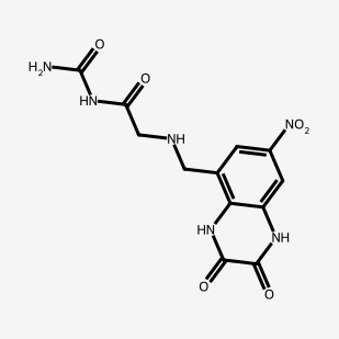 NC(=O)NC(=O)CNCc1cc([N+](=O)[O-])cc2[nH]c(=O)c(=O)[nH]c12